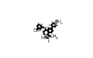 CC1=C2c3ccc(C4=CCN(C)CC4)cc3C(Nc3cccc(Cl)c3)CCN2NN1